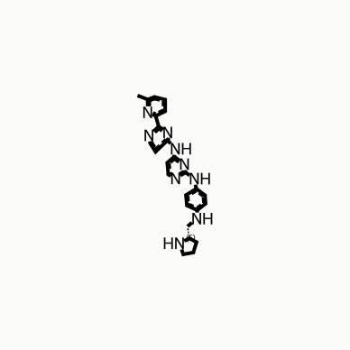 Cc1cccc(-c2nccc(Nc3ccnc(Nc4ccc(NC[C@@H]5CCCN5)cc4)n3)n2)n1